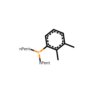 CCCCCP(CCCCC)c1cccc(C)c1C